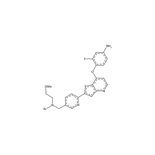 COCCN(Cc1ccc(-c2cc3nccc(Oc4ccc(N)cc4F)c3s2)nc1)C(C)=O